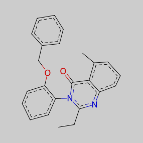 CCc1nc2cccc(C)c2c(=O)n1-c1ccccc1OCc1ccccc1